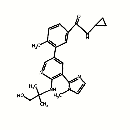 Cc1ccc(C(=O)NC2CC2)cc1-c1cnc(NC(C)(C)CO)c(-c2nccn2C)c1